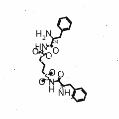 N[C@@H](Cc1ccccc1)C(=O)NS(=O)(=O)CCCS(=O)(=O)NC(=O)[C@@H](N)Cc1ccccc1